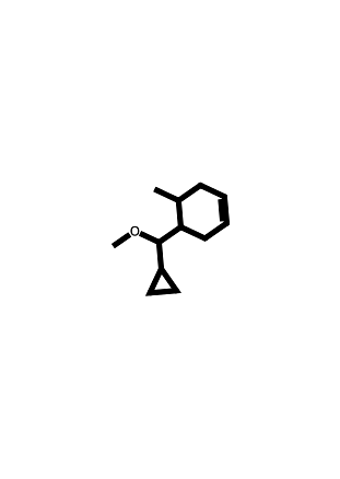 COC(C1CC1)C1CC=CCC1C